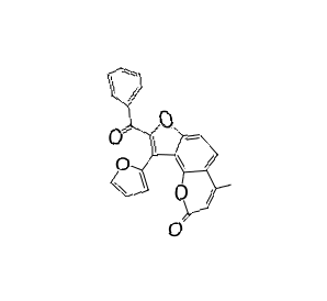 Cc1cc(=O)oc2c1ccc1oc(C(=O)c3ccccc3)c(-c3ccco3)c12